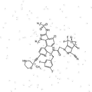 Cn1nc(NS(C)(=O)=O)c2c(Cl)ccc(-c3ccc(C#C[C@]4(C)CNCCO4)nc3[C@H](Cc3cc(F)cc(F)c3)NC(=O)Cn3nc(C#N)c4c3C(F)(F)[C@@H]3C[C@H]43)c21